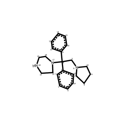 [c]1ccc(C(CN2CCCC2)(c2ccccc2)N2CCNCC2)cc1